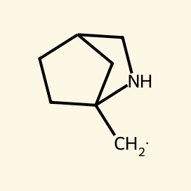 [CH2]C12CCC(CN1)C2